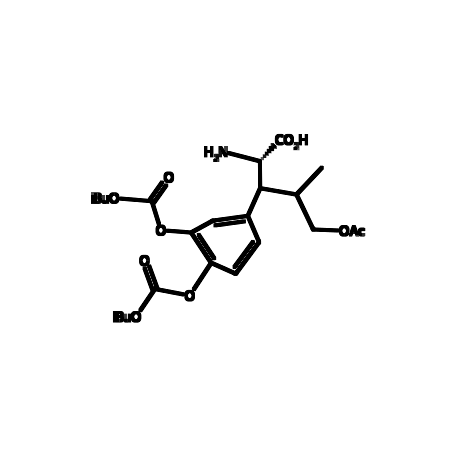 CC(=O)OCC(C)C(c1ccc(OC(=O)OCC(C)C)c(OC(=O)OCC(C)C)c1)[C@H](N)C(=O)O